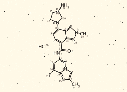 Cc1cn2cc(NC(=O)c3ccc(N4CC[C@@H](N)C4)c4cn(C)nc34)cc(F)c2n1.Cl